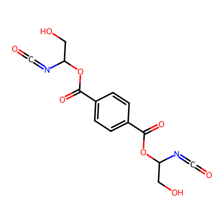 O=C=NC(CO)OC(=O)c1ccc(C(=O)OC(CO)N=C=O)cc1